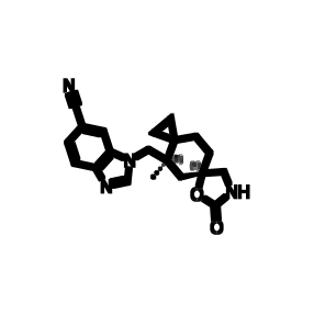 C[C@@]1(Cn2cnc3ccc(C#N)cc32)C[C@@]2(CCC13CC3)CNC(=O)O2